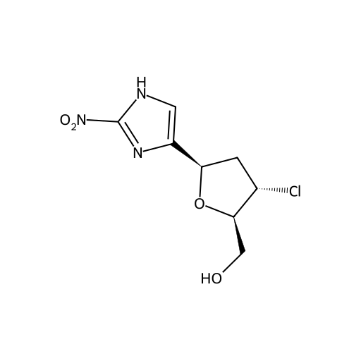 O=[N+]([O-])c1nc([C@H]2C[C@H](Cl)[C@@H](CO)O2)c[nH]1